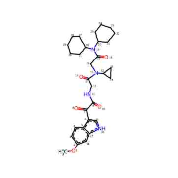 COc1ccc2c(C(=O)C(=O)NCC(=O)N(CC(=O)N(C3CCCCC3)C3CCCCC3)C3CC3)c[nH]c2c1